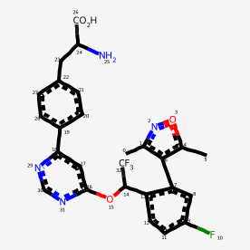 Cc1noc(C)c1-c1cc(F)ccc1C(Oc1cc(-c2ccc(CC(N)C(=O)O)cc2)ncn1)C(F)(F)F